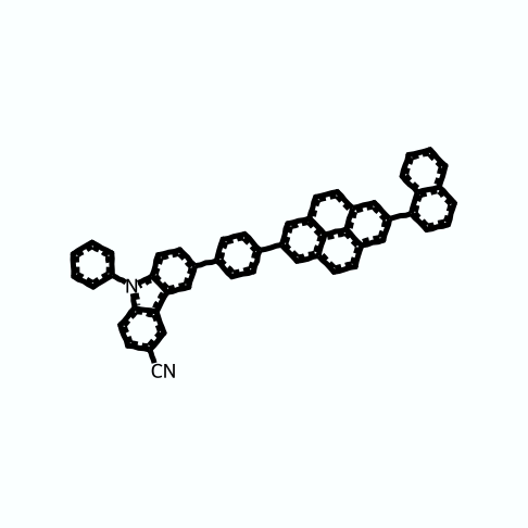 N#Cc1ccc2c(c1)c1cc(-c3ccc(-c4cc5ccc6cc(-c7cccc8ccccc78)cc7ccc(c4)c5c67)cc3)ccc1n2-c1ccccc1